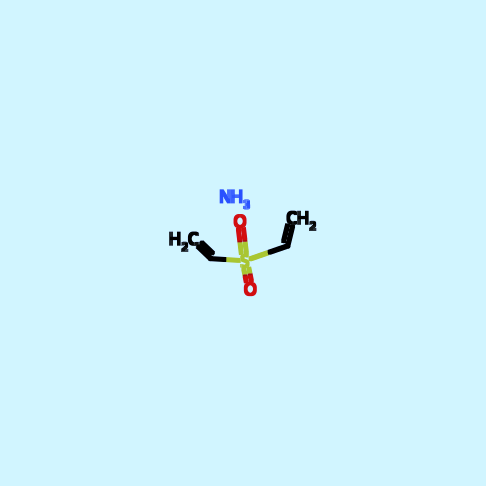 C=CS(=O)(=O)C=C.N